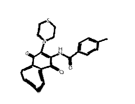 Cc1ccc(C(=O)NC2=C(N3CCSCC3)C(=O)c3ccccc3C2=O)cc1